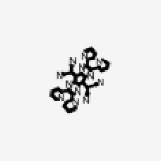 N#CC(C#N)=c1c2nc(-c3ccccn3)c(-c3ccccn3)nc2c(=C(C#N)C#N)c2nc(-c3ccccn3)c(-c3ccccn3)nc12